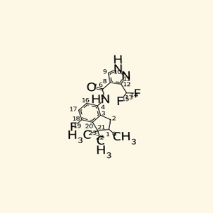 CC1Cc2c(NC(=O)c3c[nH]nc3C(F)F)ccc(F)c2C1(C)C